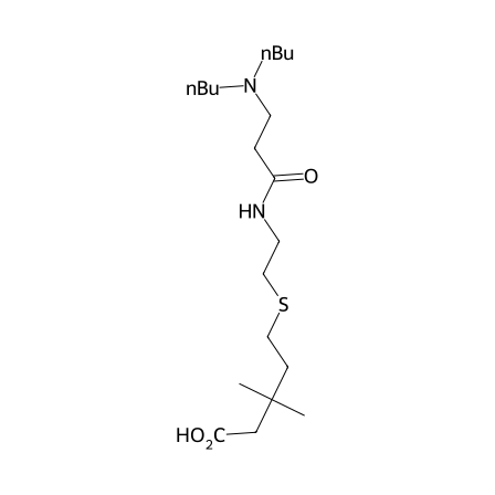 CCCCN(CCCC)CCC(=O)NCCSCCC(C)(C)CC(=O)O